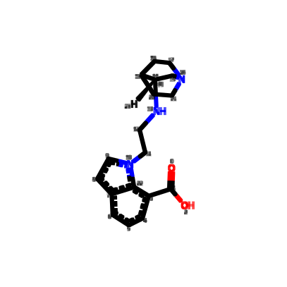 O=C(O)c1cccc2ccn(CCN[C@H]3CN4CCC3CC4)c12